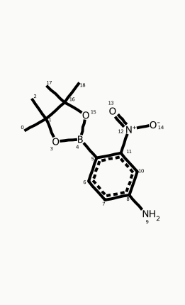 CC1(C)OB(c2ccc(N)cc2[N+](=O)[O-])OC1(C)C